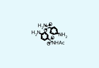 CC(=O)NS(=O)(=O)c1ccc(N)cc1.Nc1ccc(S(N)(=O)=O)cc1